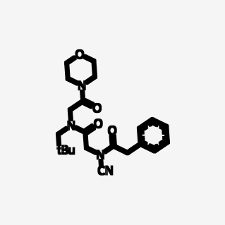 CC(C)(C)CN(CC(=O)N1CCOCC1)C(=O)CN(C#N)C(=O)Cc1ccccc1